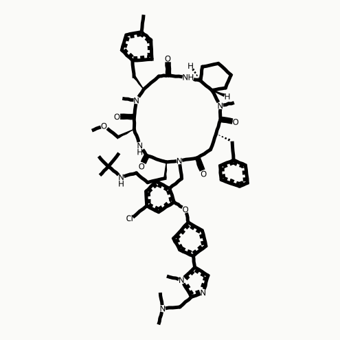 COC[C@@H]1NC(=O)[C@H](CCCNC(C)(C)C)N(Cc2ccc(Cl)cc2Oc2ccc(-c3cnc(CN(C)C)n3C)cc2)C(=O)C[C@@H](Cc2ccccc2)C(=O)N(C)[C@H]2CCCC[C@@H]2NC(=O)C[C@H](Cc2ccc(C)cc2)N(C)C1=O